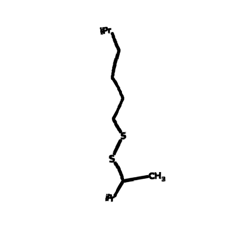 CC(C)CCCCSSC(C)C(C)C